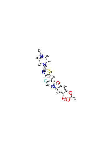 CC(O)Oc1ccc2nc(C=Cc3cnc(N4CCN(C)CC4)s3)oc2c1.CF